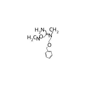 C=CN(CCOCc1ccccc1)[C@H](CN)CON=C